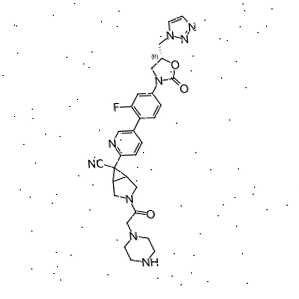 N#CC1(c2ccc(-c3ccc(N4C[C@H](Cn5ccnn5)OC4=O)cc3F)cn2)C2CN(C(=O)CN3CCNCC3)CC21